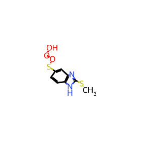 CSc1nc2cc(SOOO)ccc2[nH]1